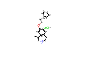 CC1CNCCc2ccc(OCCc3ccccc3)cc21.Cl